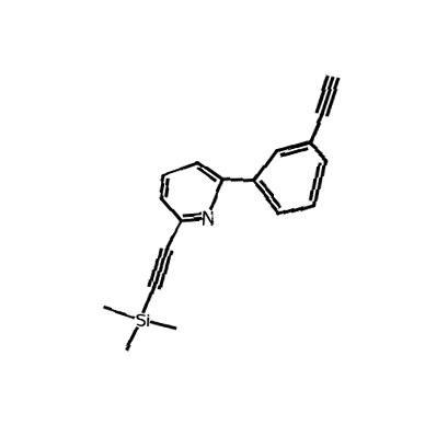 C#Cc1cccc(-c2cccc(C#C[Si](C)(C)C)n2)c1